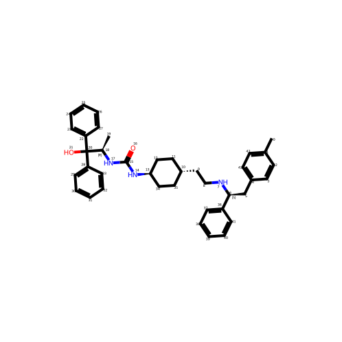 Cc1ccc(C[C@H](NCC[C@H]2CC[C@H](NC(=O)N[C@H](C)C(O)(c3ccccc3)c3ccccc3)CC2)c2ccccc2)cc1